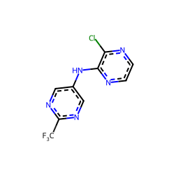 FC(F)(F)c1ncc(Nc2nccnc2Cl)cn1